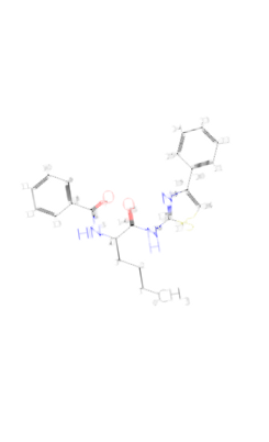 CCCCC(NC(=O)c1ccccc1)C(=O)Nc1nc(-c2ccccc2)cs1